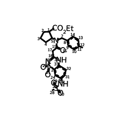 CCOC(=O)C1CCCC1N(Cc1ccc(C)cc1)C(=O)CC1=NS(=O)(=O)c2cc(NS(C)(=O)=O)ccc2N1